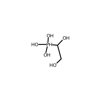 OCC(O)[PH](O)(O)O